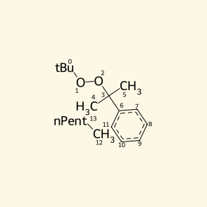 CC(C)(C)OOC(C)(C)c1ccccc1.CCCCCC